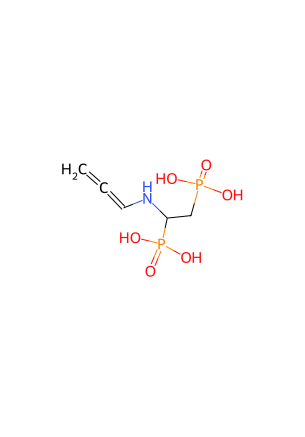 C=C=CNC(CP(=O)(O)O)P(=O)(O)O